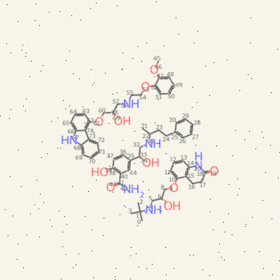 CC(C)(C)NCC(O)COc1cccc2c1CCC(=O)N2.CC(CCc1ccccc1)NCC(O)c1ccc(O)c(C(N)=O)c1.COc1ccccc1OCCNCC(O)COc1cccc2[nH]c3ccccc3c12